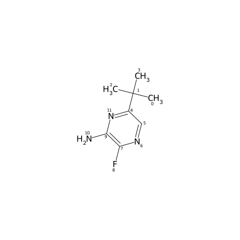 CC(C)(C)c1cnc(F)c(N)n1